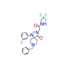 O=C(CN1CN(c2cccc(F)c2)C2(CCN(Cc3ccccc3)CC2)C1=O)NCC(F)(F)F